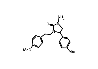 COc1ccc(CCN2C(=O)N(N)CC2c2ccc(C(C)(C)C)cc2)cc1